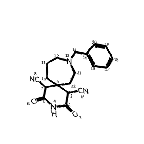 N#CC1C(=O)NC(=O)C(C#N)C12CCCN(Cc1ccccc1)CC2